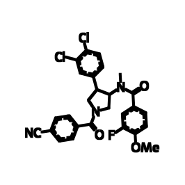 COc1ccc(C(=O)N(C)C2CN(C(=O)c3ccc(C#N)cc3)CC2c2ccc(Cl)c(Cl)c2)cc1F